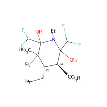 CCN1C(O)(C(F)F)[C@@H](C(=O)O)[C@H](CC(C)C)C(CC)(C(=O)O)C1(O)C(F)F